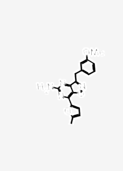 COc1cccc(Cc2noc3c(-c4ccc(C)o4)nc(N)nc23)c1